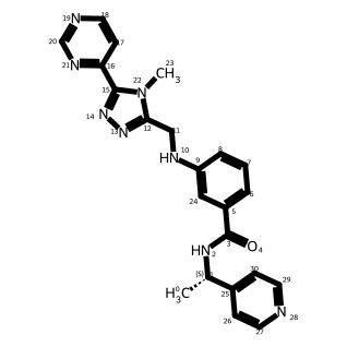 C[C@H](NC(=O)c1cccc(NCc2nnc(-c3ccncn3)n2C)c1)c1ccncc1